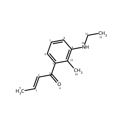 CC=CC(=O)c1cccc(NCC)c1C